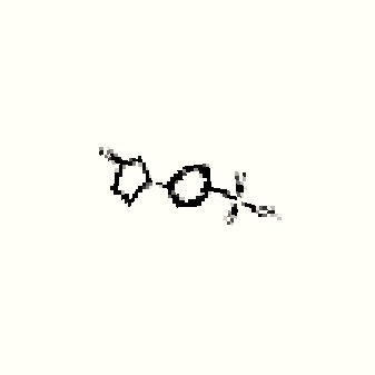 CS(=O)(=O)c1ccc([C@H]2CCC(=O)C2)cc1